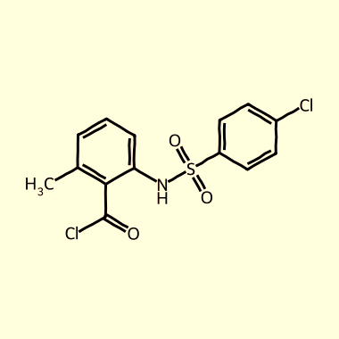 Cc1cccc(NS(=O)(=O)c2ccc(Cl)cc2)c1C(=O)Cl